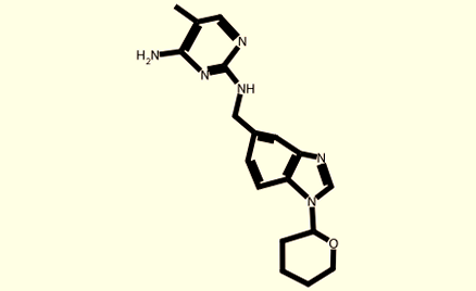 Cc1cnc(NCc2ccc3c(c2)ncn3C2CCCCO2)nc1N